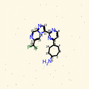 NC1CCCC(c2ccnc(-c3cnc4cnc(C(F)F)cn34)n2)CC1